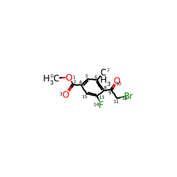 COC(=O)c1cc(C)c(C(=O)CBr)c(F)c1